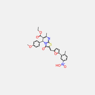 CCOC(=O)C1=C(C)N=c2s/c(=C\c3ccc(-c4cc([N+](=O)O)ccc4C)o3)c(=O)n2C1c1ccc(OC)cc1